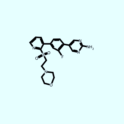 Nc1ncc(-c2ccc(-c3cccnc3S(=O)(=O)CCN3CCOCC3)cc2F)cn1